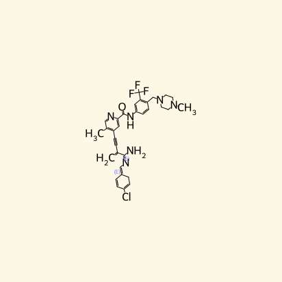 C=C(C#Cc1cc(C(=O)Nc2ccc(CN3CCN(C)CC3)c(C(F)(F)F)c2)ncc1C)/C(N)=N\C=C1\C=CC(Cl)=CC1